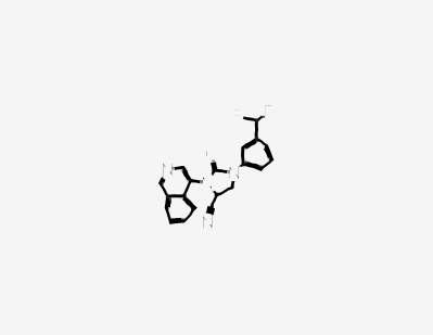 N#CC1CN(c2cccc(C(F)F)c2)C(=O)N1c1cncc2ccccc12